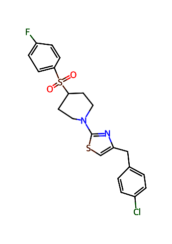 O=S(=O)(c1ccc(F)cc1)C1CCN(c2nc(Cc3ccc(Cl)cc3)cs2)CC1